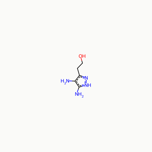 Nc1[nH]nc(CCO)c1N